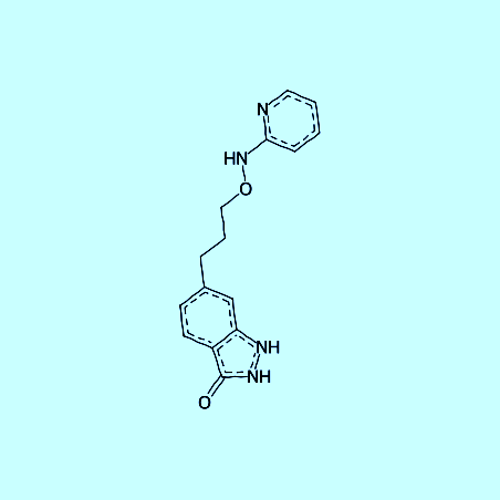 O=c1[nH][nH]c2cc(CCCONc3ccccn3)ccc12